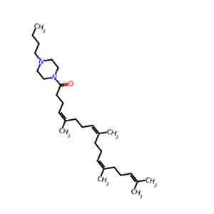 CCCCN1CCN(C(=O)CCC=C(C)CCC=C(C)CCC=C(C)CCC=C(C)C)CC1